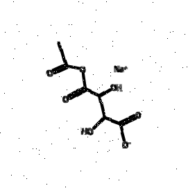 CC(=O)OC(=O)C(O)C(O)C(=O)[O-].[Na+]